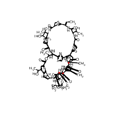 C=C(NC(=O)C(=C)NC(=O)c1csc(C2=N[C@@H]3c4csc(n4)[C@H]4NC(=O)c5csc(n5)[C@H]([C@](C)(O)C(C)O)NC(=O)C5CSC(=N5)/C(=C/C)NC(=O)C(C(C)O)NC(=O)c5csc(n5)C3(CC2)NC(=O)C(C)NC(=O)C(=C)NC(=O)C(=C)NC(=O)[C@H](C(C)C)NC2C=Cc3c(C(C)O)cc(nc3C2O)C(=O)OC4C)n1)C(N)=O